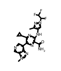 Cc1nn(C(F)C(F)F)cc1Nc1nc(C2CC2)c(-c2cncc3c2ncn3C)nc1C(N)=O